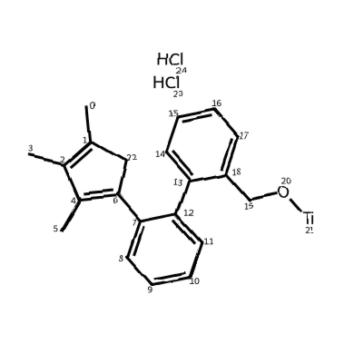 CC1=C(C)C(C)=C(c2ccccc2-c2ccccc2C[O][Ti])C1.Cl.Cl